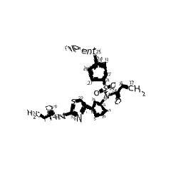 C=CC(=O)Nc1nc(-c2cccc(N(C(=O)C=C)S(=O)(=O)c3ccc(CCCCC)cc3)c2)cs1